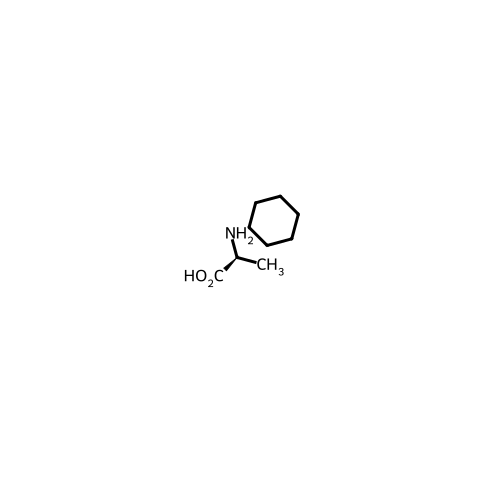 C1CCCCC1.C[C@H](N)C(=O)O